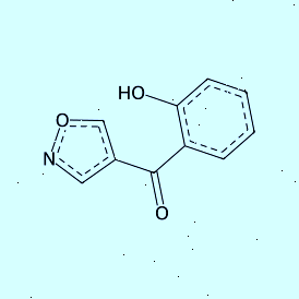 O=C(c1cnoc1)c1ccccc1O